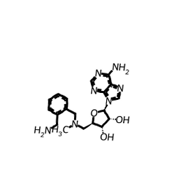 CN(Cc1ccccc1CN)C[C@H]1O[C@@H](n2cnc3c(N)ncnc32)[C@H](O)[C@@H]1O